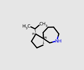 CC(C)[C@H]1CCC[C@@]12CCCCNC2